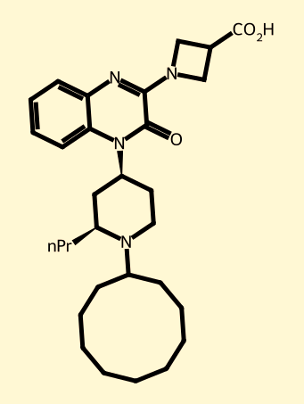 CCC[C@H]1C[C@@H](n2c(=O)c(N3CC(C(=O)O)C3)nc3ccccc32)CCN1C1CCCCCCCCC1